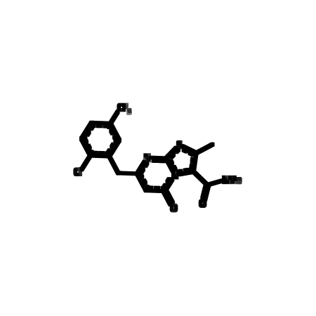 CNC(=O)c1c(C)sc2nc(Cc3cc(C(F)(F)F)ccc3Cl)cc(=O)n12